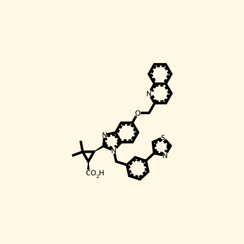 CC1(C)[C@H](C(=O)O)[C@@H]1c1nc2cc(OCc3ccc4ccccc4n3)ccc2n1Cc1cccc(-c2cscn2)c1